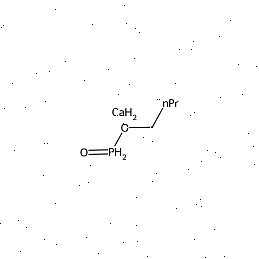 CCCCO[PH2]=O.[CaH2]